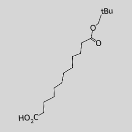 CC(C)(C)COC(=O)CCCCCCCCCCC(=O)O